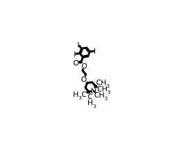 CN1C(C)(C)CC(OCCOC(=O)c2cc(I)cc(I)c2I)CC1(C)C